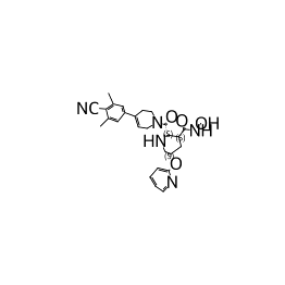 Cc1cc(C2=CCN(C(=O)[C@H]3NC[C@@H](Oc4ccccn4)C[C@@H]3C(=O)NO)CC2)cc(C)c1C#N